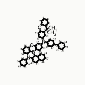 CC1(C)c2ccccc2Oc2ccc(N(c3ccc(-c4ccccc4)cc3)c3ccc4c(c3)Oc3cccc5c3B4c3c(ccc4ccccc34)N5c3ccccc3)cc21